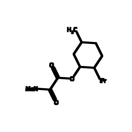 CNC(=O)C(=O)OC1CC(C)CCC1C(C)C